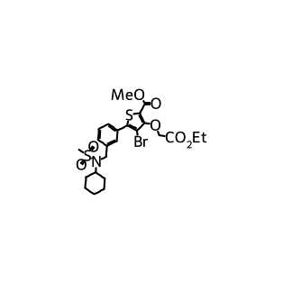 CCOC(=O)COc1c(C(=O)OC)sc(-c2cccc(CN(C3CCCCC3)S(C)(=O)=O)c2)c1Br